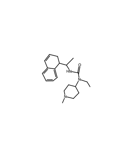 CCN(C(=O)NC(C)C1CC=Cc2ccccc21)C1CCN(C)CC1